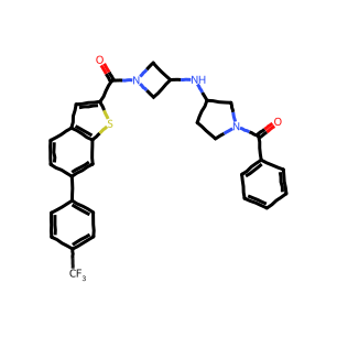 O=C(c1ccccc1)N1CCC(NC2CN(C(=O)c3cc4ccc(-c5ccc(C(F)(F)F)cc5)cc4s3)C2)C1